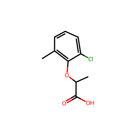 Cc1cccc(Cl)c1OC(C)C(=O)O